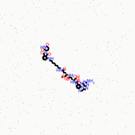 COC(=O)[C@@H](CCC(=O)NCCCCCCCCNc1cccc2c1C(=O)N(C1CCC(=O)NC1=O)C2=O)NC(=O)CC[C@H](NC(=O)c1ccc(N(C)Cc2cnc3nc(N)nc(N)c3n2)cc1)C(=O)O